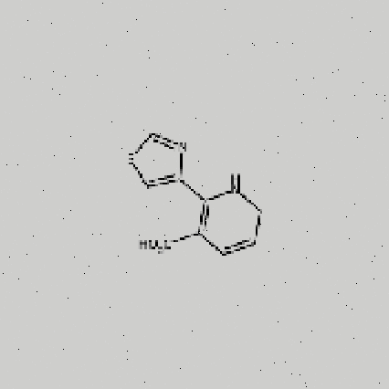 O=C(O)C1=C(c2cscn2)NCC=C1